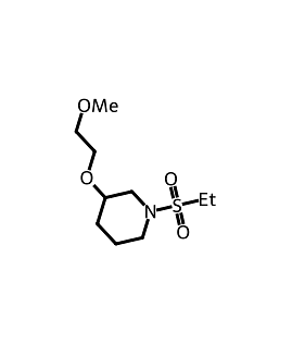 CCS(=O)(=O)N1CCCC(OCCOC)C1